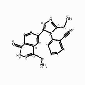 N#Cc1ccccc1-n1c(-c2ccc3c(=O)[nH]nc(CN)c3c2)cnc1CO